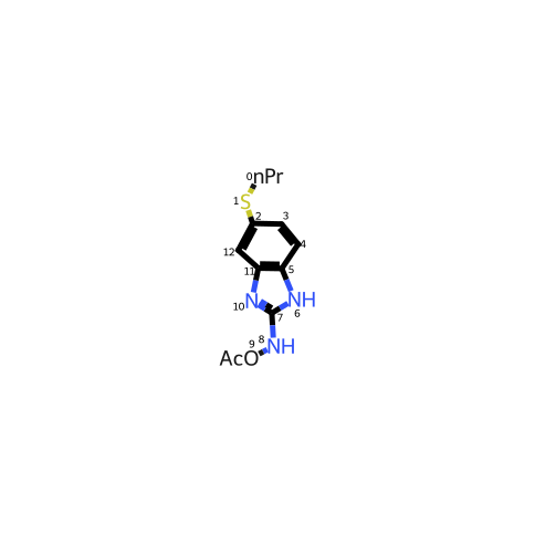 CCCSc1ccc2[nH]c(NOC(C)=O)nc2c1